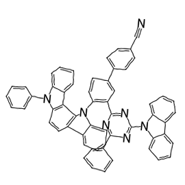 N#Cc1ccc(-c2ccc(-n3c4ccccc4c4ccc5c(c6ccccc6n5-c5ccccc5)c43)c(-c3nc(-c4ccccc4)nc(-n4c5ccccc5c5ccccc54)n3)c2)cc1